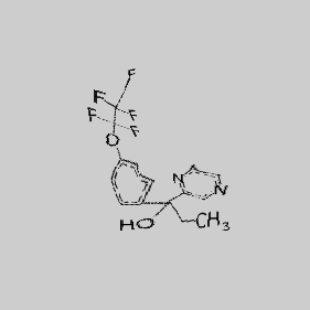 CCC(O)(c1ccc(OC(F)(F)C(F)(F)F)cc1)c1cnccn1